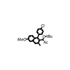 COc1ccc2c(-c3ccc(Cl)cc3)c(C(OC(C)(C)C)C(C)=O)c(C)cc2c1